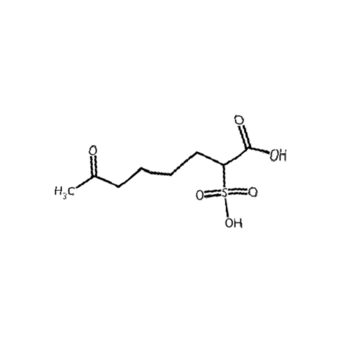 CC(=O)CCCCC(C(=O)O)S(=O)(=O)O